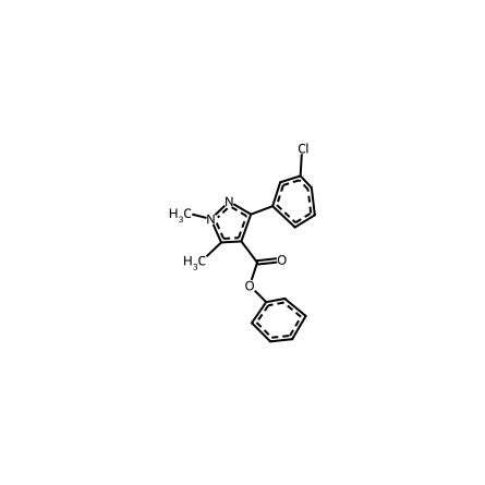 Cc1c(C(=O)Oc2ccccc2)c(-c2cccc(Cl)c2)nn1C